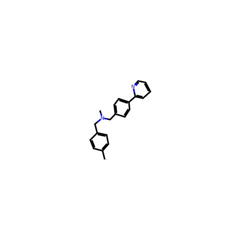 [CH2]c1ccc(CN(C)Cc2ccc(-c3ccccn3)cc2)cc1